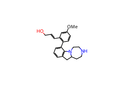 COc1ccc(-c2cccc3c2N2CCNCCC2C3)c(C=CCO)c1